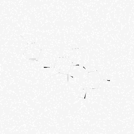 CC(=O)OC[C@H]1O[C@@H](O[C@@H]2[C@@H](C(O)C(C)=O)O[C@H](Oc3ccc([N+](=O)[O-])cc3)[C@@](O)(C(C)=O)[C@]2(O)C(C)=O)[C@H](OC(C)=O)[C@@H](OC(C)=O)[C@@H]1OC(C)=O